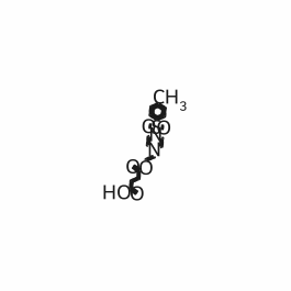 Cc1ccc(S(=O)(=O)N2CCN(CCOC(=O)CCC(=O)O)CC2)cc1